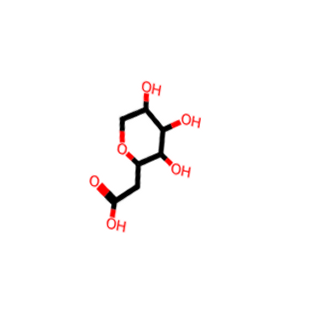 O=C(O)CC1OCC(O)C(O)C1O